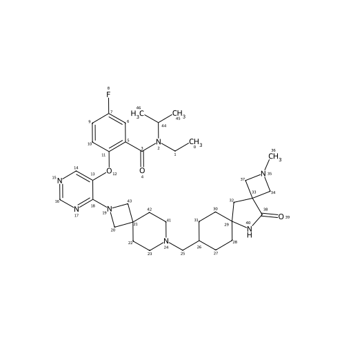 CCN(C(=O)c1cc(F)ccc1Oc1cncnc1N1CC2(CCN(CC3CCC4(CC3)CC3(CN(C)C3)C(=O)N4)CC2)C1)C(C)C